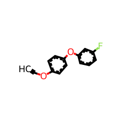 C#COc1ccc(Oc2cccc(F)c2)cc1